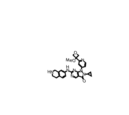 COC1(c2cc(-n3c4nc(Nc5ccc6c(c5)CNCC6)ncc4c(=O)n3C3CC3)ccn2)COC1